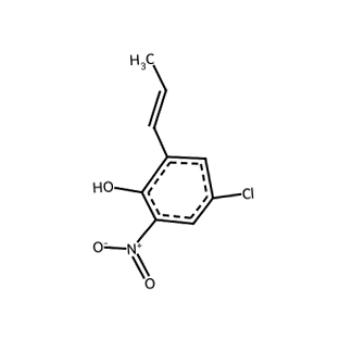 C/C=C/c1cc(Cl)cc([N+](=O)[O-])c1O